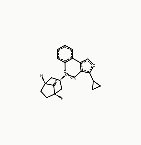 O=C1[C@@H]2CC[C@H]1C[C@H](OCc1c(-c3ccccc3OC(F)(F)F)noc1C1CC1)C2